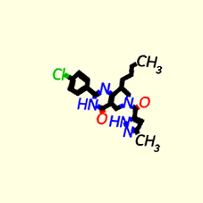 CCCCC1CN(C(=O)c2cc(C)n[nH]2)Cc2c1nc(-c1ccc(Cl)cc1)[nH]c2=O